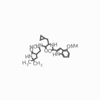 COc1cccc2[nH]c(C(=O)NC(CC3CC3)C(=O)N[C@H](C#N)CC3CC(C)(C)NC3=O)cc12